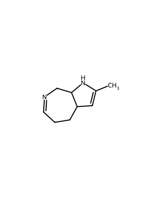 CC1=CC2CCC=NCC2N1